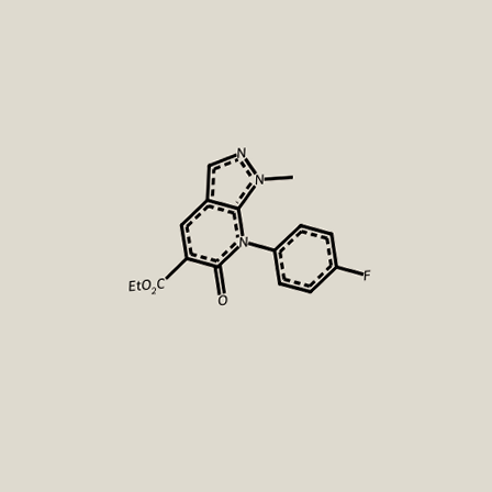 CCOC(=O)c1cc2cnn(C)c2n(-c2ccc(F)cc2)c1=O